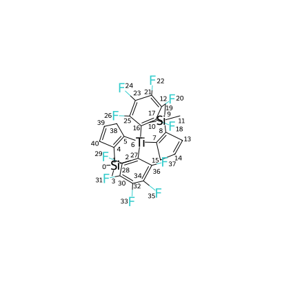 C[Si](C)(C)C1=[C]([Ti]([C]2=C([Si](C)(C)C)C=CC2)([c]2c(F)c(F)c(F)c(F)c2F)[c]2c(F)c(F)c(F)c(F)c2F)CC=C1